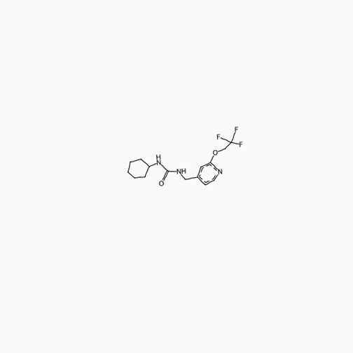 O=C(NCc1ccnc(OCC(F)(F)F)c1)NC1CCCCC1